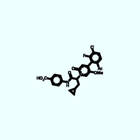 COc1cn(C(CC2CC2)C(=O)Nc2ccc(C(=O)O)cc2)c(=O)cc1-c1c(C(C)=O)ccc(Cl)c1F